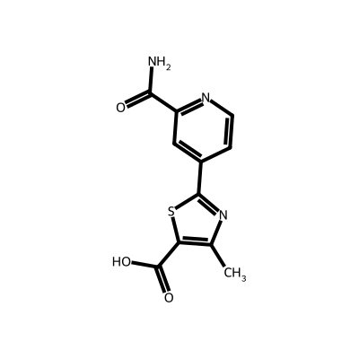 Cc1nc(-c2ccnc(C(N)=O)c2)sc1C(=O)O